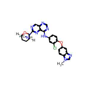 Cn1cnc2cc(Oc3ccc(Nc4ncnc5cnc(N6C[C@H]7CC[C@@H]6CO7)nc45)cc3Cl)ccc21